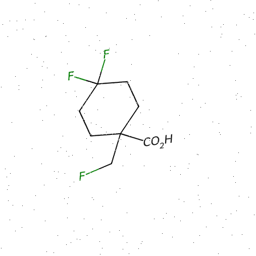 O=C(O)C1(CF)CCC(F)(F)CC1